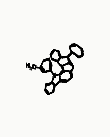 Cc1cccc(-n2c3ccccc3c3ccc4c(c32)C2C(=C4)C(c3ccccc3)c3ccccc32)c1